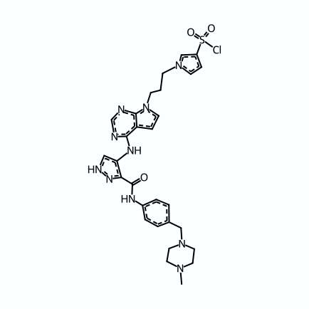 CN1CCN(Cc2ccc(NC(=O)c3n[nH]cc3Nc3ncnc4c3ccn4CCCn3ccc(S(=O)(=O)Cl)c3)cc2)CC1